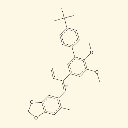 C=C/C(=C\c1cc2c(cc1C)OCO2)c1cc(OC)c(OC)c(-c2ccc(C(C)(C)C)cc2)c1